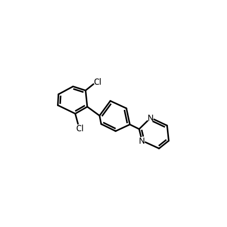 Clc1cccc(Cl)c1-c1ccc(-c2ncccn2)cc1